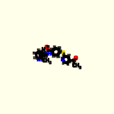 CC(=O)c1ccnc(Sc2ccc(C(=O)N[C@@H]3C4CCN(CC4)[C@H]3C)cc2)c1